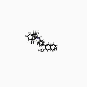 Oc1cc2cnccc2cc1-c1nnc(/C=C2\C[C@H]3CCC[C@H](N3)[C@H]2F)s1